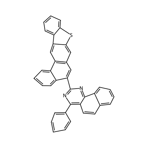 c1ccc(-c2nc(-c3cc4cc5sc6ccccc6c5cc4c4ccccc34)nc3c2ccc2ccccc23)cc1